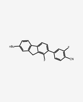 CCCCc1ccc2c(c1)Cc1c-2ccc(-c2ccc(C#N)c(F)c2)c1F